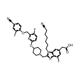 N#CCCCCCCn1c(CN2CCC(Oc3ccc(F)c(COc4ccc(C#N)cc4F)n3)CC2)nc2c(F)cc(CC(=O)O)cc21